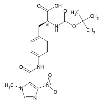 Cn1cnc([N+](=O)[O-])c1C(=O)Nc1ccc(C[C@H](NC(=O)OC(C)(C)C)C(=O)O)cc1